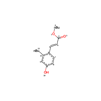 CCCCOC(=O)C=Cc1ccc(O)cc1CCCC